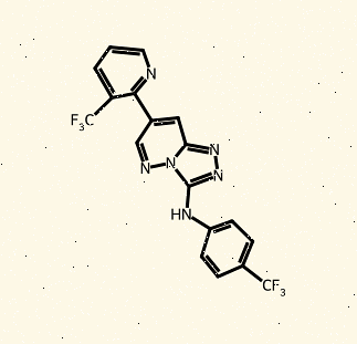 FC(F)(F)c1ccc(Nc2nnc3cc(-c4ncccc4C(F)(F)F)cnn23)cc1